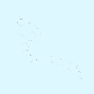 CC(C)(C)C[C@@H]1N[C@@H](C(=O)NC23CCC(C(=O)N4CC5(CCN(c6ccc7c(c6)CN(C6CCC(=O)NC6=O)C7=O)CC5)C4)(CC2)CC3)[C@H](c2cccc(Cl)c2F)[C@]12CNc1cc(C(F)(F)F)ncc12